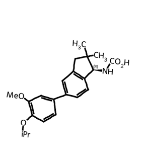 COc1cc(-c2ccc3c(c2)CC(C)(C)[C@H]3NC(=O)O)ccc1OC(C)C